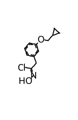 O/N=C(\Cl)Cc1cccc(OCC2CC2)c1